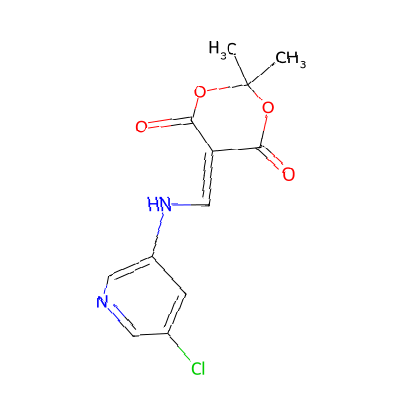 CC1(C)OC(=O)C(=CNc2cncc(Cl)c2)C(=O)O1